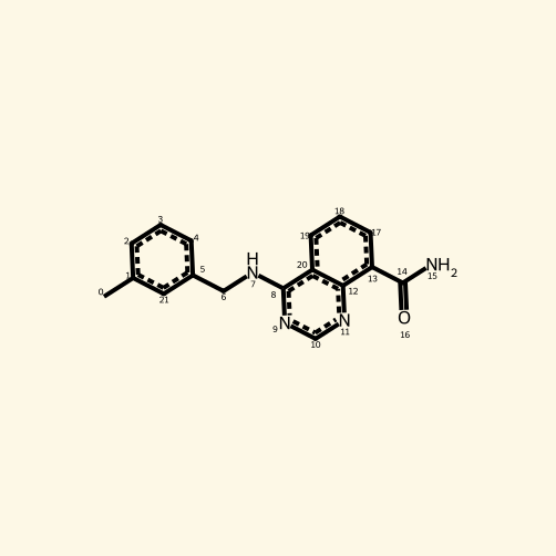 Cc1cccc(CNc2ncnc3c(C(N)=O)cccc23)c1